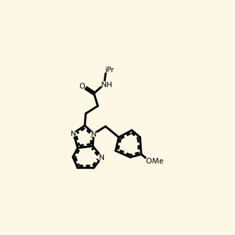 COc1ccc(Cn2c(CCC(=O)NC(C)C)nc3cccnc32)cc1